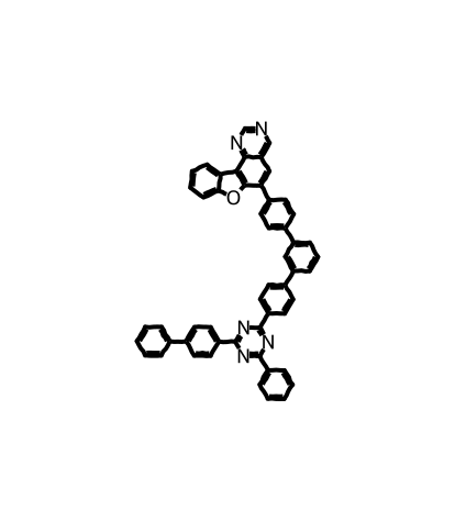 c1ccc(-c2ccc(-c3nc(-c4ccccc4)nc(-c4ccc(-c5cccc(-c6ccc(-c7cc8cncnc8c8c7oc7ccccc78)cc6)c5)cc4)n3)cc2)cc1